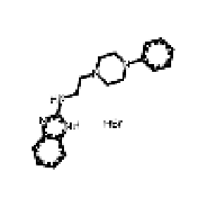 Br.c1ccc(N2CCN(CCNc3nc4ccccc4[nH]3)CC2)cc1